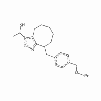 CC(C)OCc1ccc(CC2CCCCCc3c2nnn3C(C)S)cc1